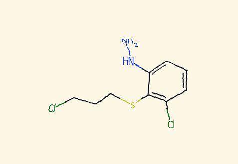 NNc1cccc(Cl)c1SCCCCl